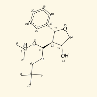 C[SiH](C)OC(CCC(C)(C)C)[C@@H]1[C@@H](O)CO[C@H]1c1cccnc1